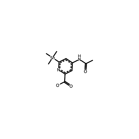 CC(=O)Nc1cc(C(=O)[O-])n[c]([Sn]([CH3])([CH3])[CH3])c1